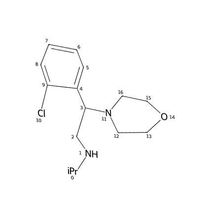 CC(C)NCC(c1ccccc1Cl)N1CCOCC1